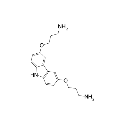 NCCCOc1ccc2[nH]c3ccc(OCCCN)cc3c2c1